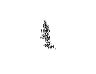 COc1cc(-c2cncc(N[C@@H](C)c3cccc(NC(=O)c4cnc(C#N)nc4)c3)n2)ccc1N